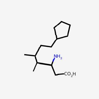 CC(CCC1CCCC1)C(C)C(N)CC(=O)O